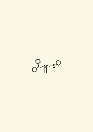 c1ccc(SCCCNCCC(c2ccccc2)c2ccccc2)cc1